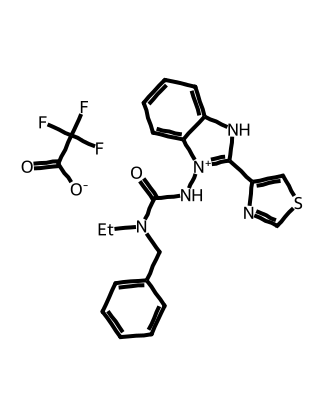 CCN(Cc1ccccc1)C(=O)N[n+]1c(-c2cscn2)[nH]c2ccccc21.O=C([O-])C(F)(F)F